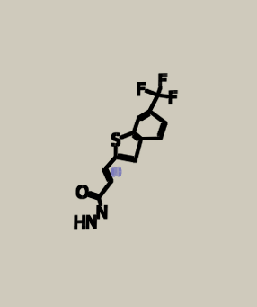 N=NC(=O)/C=C/c1cc2ccc(C(F)(F)F)cc2s1